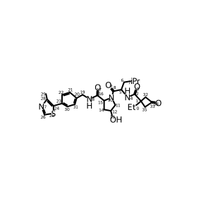 CCC1(C(=O)NC(CC(C)C)C(=O)N2CC(O)CC2C(=O)NCc2ccc(-c3scnc3C)cc2)CC(=O)C1